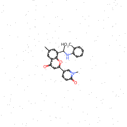 Cc1cc(C(C)Nc2ccccc2C(=O)O)c2oc(-c3ccc(=O)n(C)c3)cc(=O)c2c1